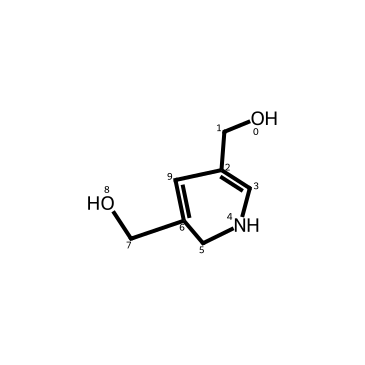 OCC1=CNCC(CO)=C1